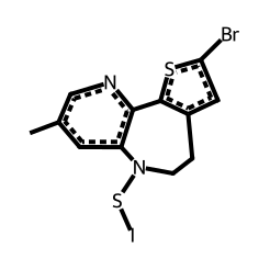 Cc1cnc2c(c1)N(SI)CCc1cc(Br)sc1-2